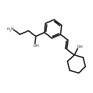 NCCC(O)c1cccc(C=CC2(O)CCCCC2)c1